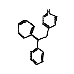 c1ccc(C(Cc2ccncc2)c2ccccc2)cc1